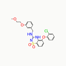 COCCOc1cccc(CNC2=NS(=O)(=O)c3cccc(Oc4ccccc4Cl)c3N2)c1